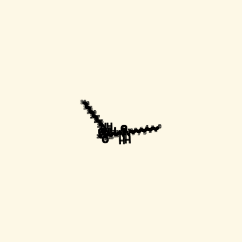 CCCCCCCCCCCNC(=O)NCCCCC(NC(=O)NCCCCCCCCCCC)C(=O)OC